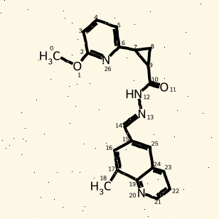 COc1cccc(C2CC2C(=O)NN=Cc2cc(C)c3ncccc3c2)n1